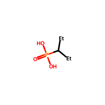 CC[C](CC)P(=O)(O)O